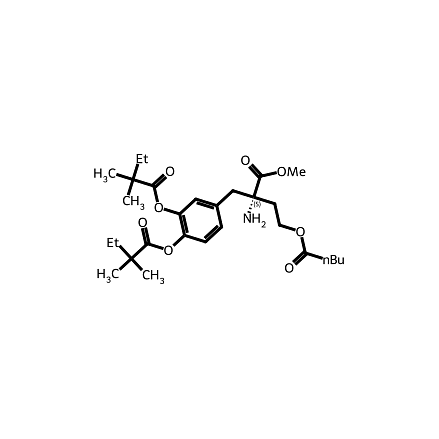 CCCCC(=O)OCC[C@@](N)(Cc1ccc(OC(=O)C(C)(C)CC)c(OC(=O)C(C)(C)CC)c1)C(=O)OC